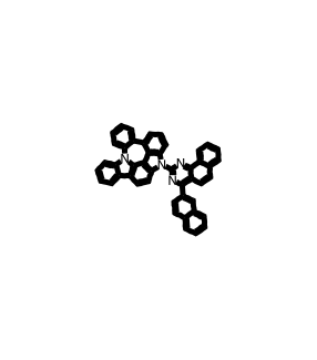 c1ccc2cc(-c3nc(-n4c5cccc6c7ccccc7n7c8ccccc8c8ccc4c(c65)c87)nc4c3ccc3ccccc34)ccc2c1